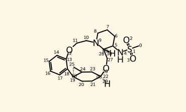 CS(=O)(=O)NC1CCCN2CCOc3ccccc3[C@]34CC[C@@H](CC3C4)OC[C@@H]12